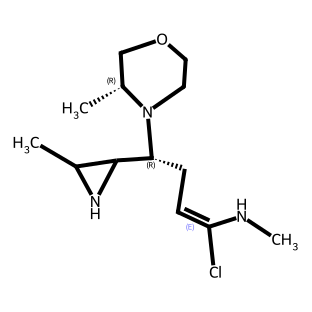 CN/C(Cl)=C\C[C@H](C1NC1C)N1CCOC[C@H]1C